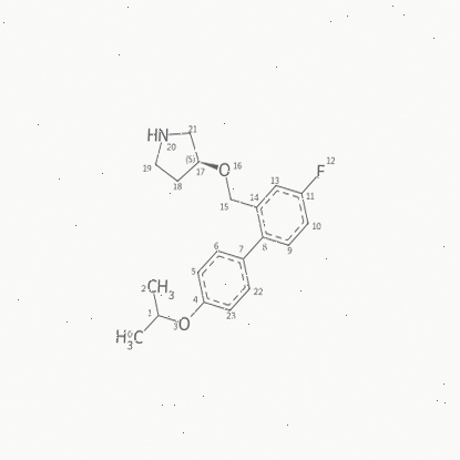 CC(C)Oc1ccc(-c2ccc(F)cc2CO[C@H]2CCNC2)cc1